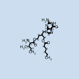 CCCCCC(=O)OCC(CCOC(=O)[C@@H](N)[C@@H](C)CC)Cn1cnc2c(=O)[nH]c(N)nc21